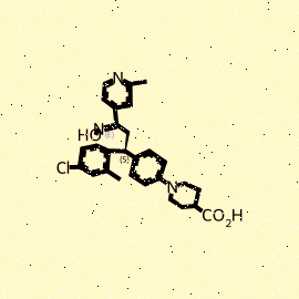 Cc1cc(/C(C[C@@H](c2ccc(N3CCC(C(=O)O)CC3)cc2)c2ccc(Cl)cc2C)=N/O)ccn1